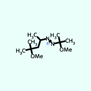 COC(C)(C)CC(C)/N=N/C(C)(C)OC